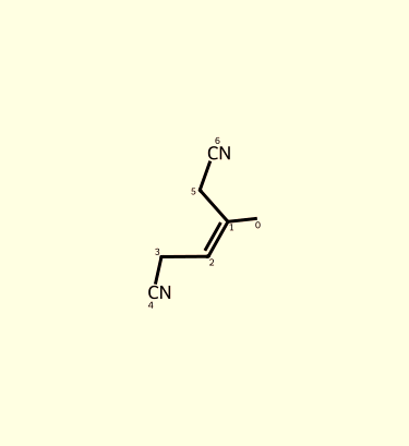 CC(=CCC#N)CC#N